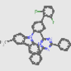 Fc1cccc(F)c1-c1ccc(-n2c3ccccc3c3cc(C(F)(F)F)ccc32)c(-c2nc(-c3ccccc3)nc(-c3ccccc3)n2)c1